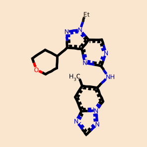 CCn1nc(C2CCOCC2)c2nc(Nc3cn4ncnc4cc3C)ncc21